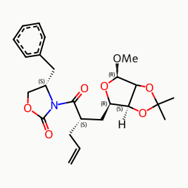 C=CC[C@@H](C[C@H]1O[C@@H](OC)C2OC(C)(C)O[C@H]21)C(=O)N1C(=O)OC[C@@H]1Cc1ccccc1